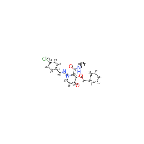 CC(C)NC(=O)c1c(OCc2ccccc2)c(=O)ccn1/N=C/c1ccc(Cl)cc1